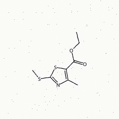 CCOC(=O)c1sc(SC)nc1C